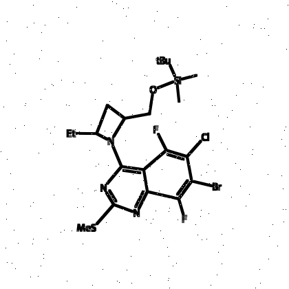 CCC1CC(CO[Si](C)(C)C(C)(C)C)N1c1nc(SC)nc2c(F)c(Br)c(Cl)c(F)c12